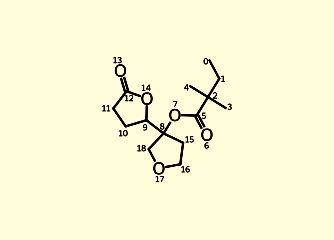 CCC(C)(C)C(=O)OC1(C2CCC(=O)O2)CCOC1